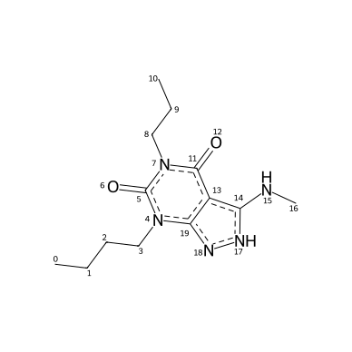 CCCCn1c(=O)n(CCC)c(=O)c2c(NC)[nH]nc21